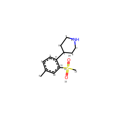 Cc1ccc(C2CCNCC2)c(S(C)(=O)=O)c1